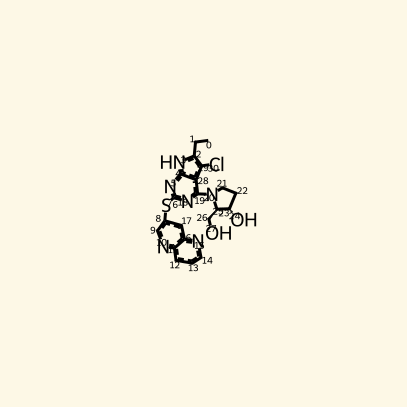 CCc1[nH]c2nc(Sc3cnc4cccnc4c3)nc(N3CC[C@H](O)[C@H]3CO)c2c1Cl